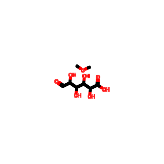 COC.O=CC(O)C(O)C(O)C(O)C(=O)O